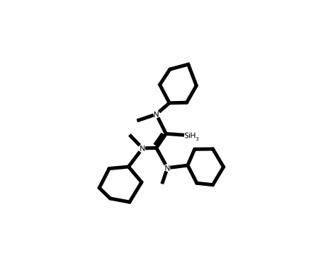 CN(C([SiH3])=C(N(C)C1CCCCC1)N(C)C1CCCCC1)C1CCCCC1